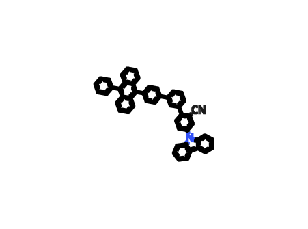 N#Cc1cc(-n2c3ccccc3c3ccccc32)ccc1-c1cccc(-c2ccc(-c3c4ccccc4c(-c4ccccc4)c4ccccc34)cc2)c1